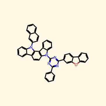 c1ccc(-c2nc(-c3ccc4c(c3)oc3ccccc34)nc(-n3c4ccccc4c4c3ccc3c5ccccc5n(-c5ccc6ccccc6c5)c34)n2)cc1